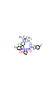 CC(C)(C)CN1CCC2(CC1)CN(c1ccccc1NC(=O)Nc1nc3ccc(F)cc3s1)c1c(O)cc(F)c(F)c12